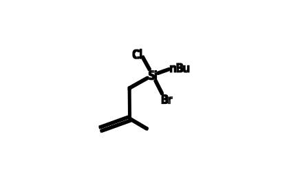 C=C(C)C[Si](Cl)(Br)CCCC